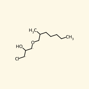 CCCCCC(C)CO[CH]C(O)[CH]Cl